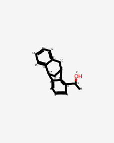 CC(O)c1cccc2c1C1Cc3ccccc3C2C1